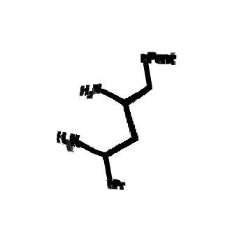 CCCCCCC(N)CC(N)CCC